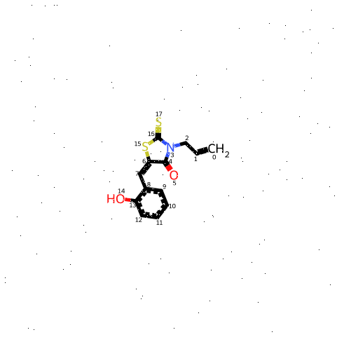 C=CCN1C(=O)/C(=C\c2ccccc2O)SC1=S